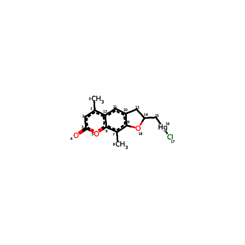 Cc1cc(=O)oc2c(C)c3c(cc12)CC([CH2][Hg][Cl])O3